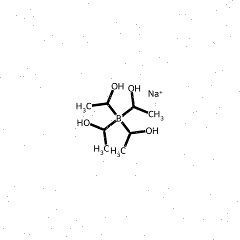 CC(O)[B-](C(C)O)(C(C)O)C(C)O.[Na+]